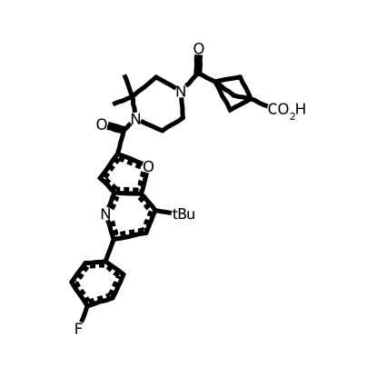 CC(C)(C)c1cc(-c2ccc(F)cc2)nc2cc(C(=O)N3CCN(C(=O)C45CC(C(=O)O)(C4)C5)CC3(C)C)oc12